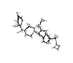 O=C(c1cc2nc(NC3CC3)c(N3CCC([C@@H](F)c4ccc(F)cc4F)CC3)nc2cn1)N1CCC1